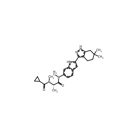 C[C@@H](C(=O)N(C)c1ccc2cc(-c3n[nH]c4c3CCC(C)(C)C4)[nH]c2c1)N(C)C(=O)C1CC1